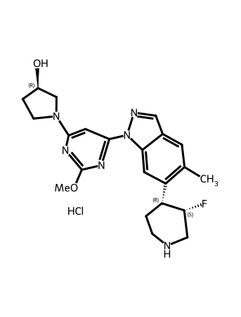 COc1nc(N2CC[C@@H](O)C2)cc(-n2ncc3cc(C)c([C@H]4CCNC[C@H]4F)cc32)n1.Cl